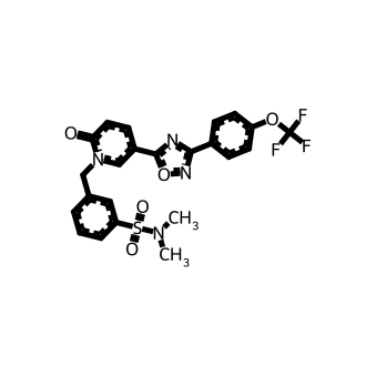 CN(C)S(=O)(=O)c1cccc(Cn2cc(-c3nc(-c4ccc(OC(F)(F)F)cc4)no3)ccc2=O)c1